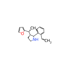 C=Cc1ccccc1C1NCC[C@H]1[C@H](C)c1ccco1